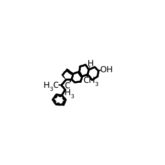 C[C@H](Cc1ccccc1)[C@H]1CC=C2C3=C(CC[C@@]21C)[C@@]1(C)CC[C@H](O)C[C@@H]1CC3